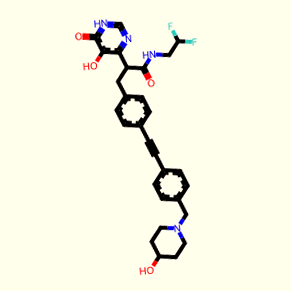 O=C(NCC(F)F)C(Cc1ccc(C#Cc2ccc(CN3CCC(O)CC3)cc2)cc1)c1nc[nH]c(=O)c1O